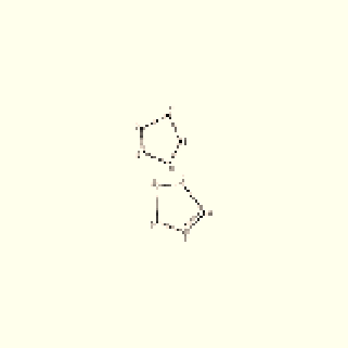 C1CCCC1.[C]1=CCCC1